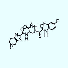 CN1CCc2nc(C(=O)NC(CNC(=S)C(=O)Nc3ccc(F)cc3F)C(=O)N(C)C)sc2C1